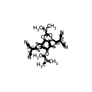 C=C(Oc1c2c(c(OC(=O)N(C)C)c3c1SC(=C(C#N)C#N)S3)SC(=C(C#N)C#N)S2)N(C)C